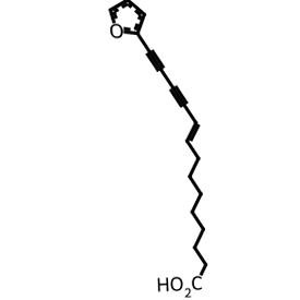 O=C(O)CCCCCCCC=CC#CC#Cc1ccco1